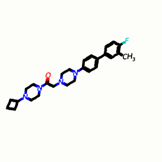 Cc1cc(-c2ccc(N3CCN(CC(=O)N4CCN(C5CCC5)CC4)CC3)cc2)ccc1F